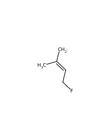 [CH2]C(C)=CCF